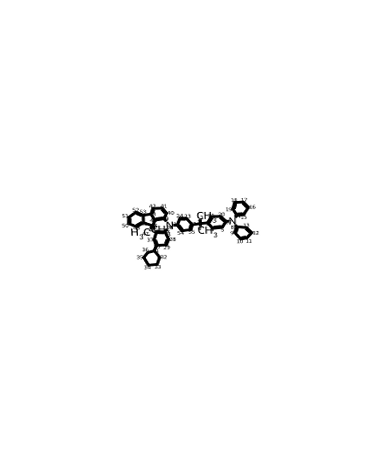 CC(C)(c1ccc(N(c2ccccc2)c2ccccc2)cc1)c1ccc(N(c2ccc(C3CCCCC3)cc2)c2cccc3c2C(C)(C)c2ccccc2-3)cc1